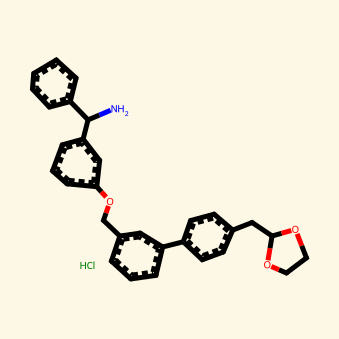 Cl.NC(c1ccccc1)c1cccc(OCc2cccc(-c3ccc(CC4OCCO4)cc3)c2)c1